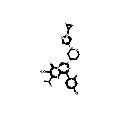 Cc1c(C(F)F)nc2c(-c3ccc(Cl)cc3F)nc([C@H]3CCO[C@@H](c4cnn(C5CC5)c4)C3)cn2c1=O